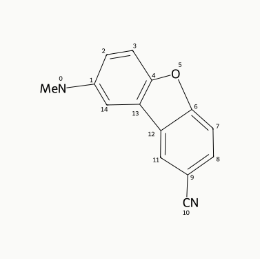 CNc1ccc2oc3ccc(C#N)cc3c2c1